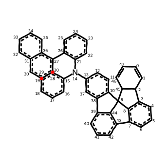 C1=CC2c3cccc4c3C3(c5ccc(N(c6ccccc6)c6ccccc6-c6cccc7ccccc67)cc5-c5cccc-4c53)C2C=C1